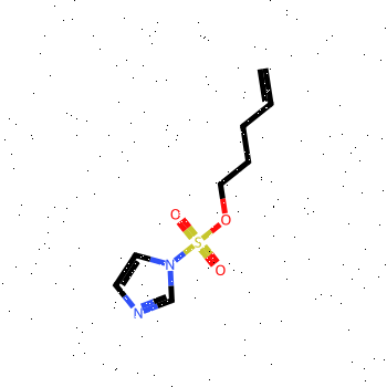 C=CCCCOS(=O)(=O)n1ccnc1